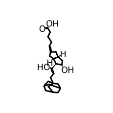 O=C(O)CCC/C=C1\C[C@@H]2C[C@H](O)[C@@H](C(O)=CCC34CC5CC(CC(C5)C3)C4)[C@@H]2C1